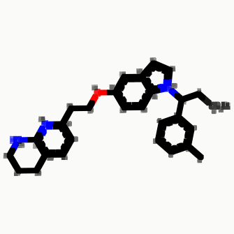 CCOC(=O)CC(c1cccc(C)c1)n1ccc2cc(OCCc3ccc4c(n3)NCCC4)ccc21